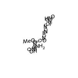 CO[C@@H]1C[C@H](c2ccc(C(=O)N3CCC(F)(CN4CCC(n5ccc6cc(N7CCC(=O)NC7=O)c(F)cc65)CC4)CC3)cc2)CN(c2cc(-c3ccccc3O)nnc2N)C1